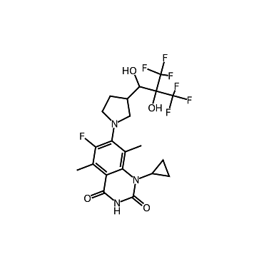 Cc1c(F)c(N2CCC(C(O)C(O)(C(F)(F)F)C(F)(F)F)C2)c(C)c2c1c(=O)[nH]c(=O)n2C1CC1